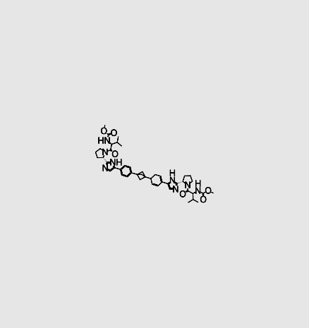 COC(=O)N[C@H](C(=O)N1CCC[C@H]1c1ncc(C2=CCC(C34CC(c5ccc(-c6cnc([C@@H]7CCCN7C(=O)[C@@H](NC(=O)OC)C(C)C)[nH]6)cc5)(C3)C4)C=C2)[nH]1)C(C)C